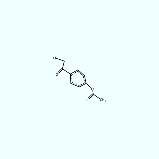 CC(=O)Oc1ccc(C(=O)CCl)cc1